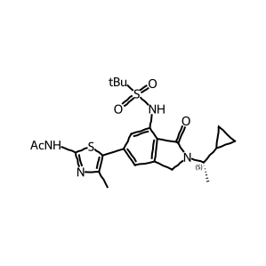 CC(=O)Nc1nc(C)c(-c2cc3c(c(NS(=O)(=O)C(C)(C)C)c2)C(=O)N([C@@H](C)C2CC2)C3)s1